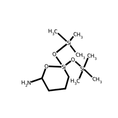 C[Si](C)(C)O[Si]1(O[Si](C)(C)C)CCCC(N)O1